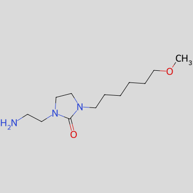 COCCCCCCN1CCN(CCN)C1=O